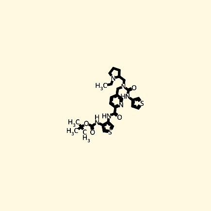 CCN1CCCC1CN(Cc1ccc(C(=O)Nc2cscc2NC(=O)OC(C)(C)C)nc1)C(=O)Nc1ccsc1